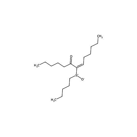 CCCCC/C=C(\C(=O)CCCCC)[S+]([O-])CCCCC